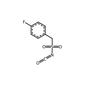 O=C=NS(=O)(=O)Cc1ccc(F)cc1